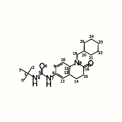 CC(C)(C)NC(=O)Nc1ccc2c(c1)CCC(=O)N2CC1CCCCC1